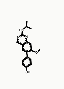 COc1cc2nc(NC(C)C)ncc2cc1-c1ccc(O)cc1